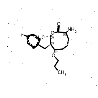 CCCO[C@H]1CCC[C@H](N)C(=O)O[C@@H](C)[C@@H]1Cc1ccc(F)cc1